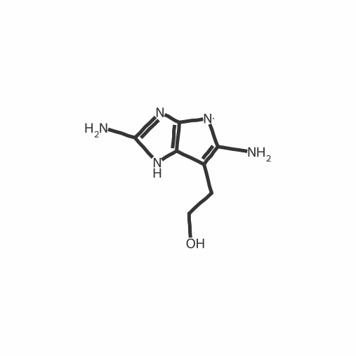 NC1=C(CCO)c2[nH]c(N)nc2[N]1